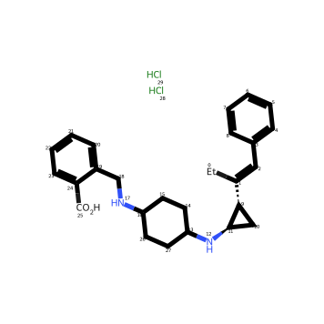 CC/C(=C\c1ccccc1)[C@@H]1C[C@H]1NC1CCC(NCc2ccccc2C(=O)O)CC1.Cl.Cl